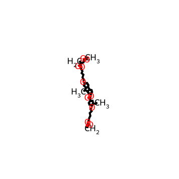 C=CC(=O)OCCCCCCOc1ccc(C(=O)Oc2ccc3c(c2)C(C)c2cc(OCCCCCCOC(=O)C(=C)CC(=O)OC)ccc2-3)cc1CC